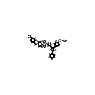 COc1ccc(-c2[nH]c(-c3ccccc3)nc2CCNS(=O)(=O)N2CCN(Cc3ccc(Cl)cc3)CC2)cc1